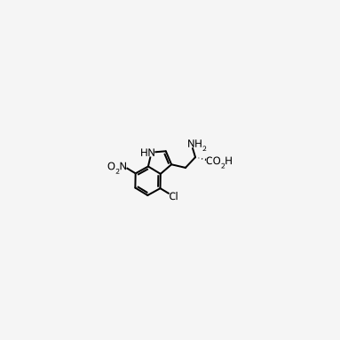 N[C@@H](Cc1c[nH]c2c([N+](=O)[O-])ccc(Cl)c12)C(=O)O